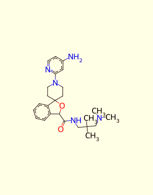 CN(C)CC(C)(C)CNC(=O)C1OC2(CCN(c3cc(N)ccn3)CC2)c2ccccc21